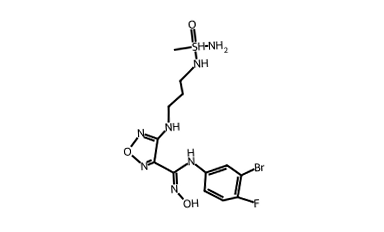 C[SH](N)(=O)NCCCNc1nonc1/C(=N/O)Nc1ccc(F)c(Br)c1